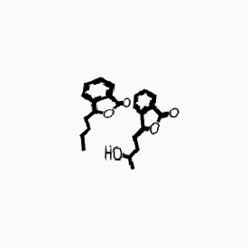 CC(O)CCC1OC(=O)c2ccccc21.CCCCC1OC(=O)c2ccccc21